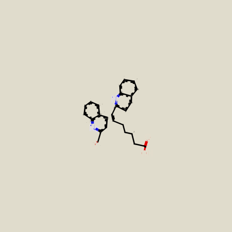 O=C(O)CCCC/C=C\c1ccc2ccccc2n1.O=Cc1ccc2ccccc2n1